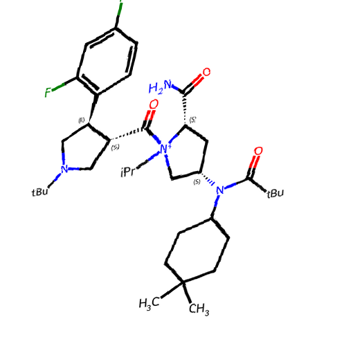 CC(C)[N+]1(C(=O)[C@@H]2CN(C(C)(C)C)C[C@H]2c2ccc(F)cc2F)C[C@@H](N(C(=O)C(C)(C)C)C2CCC(C)(C)CC2)C[C@H]1C(N)=O